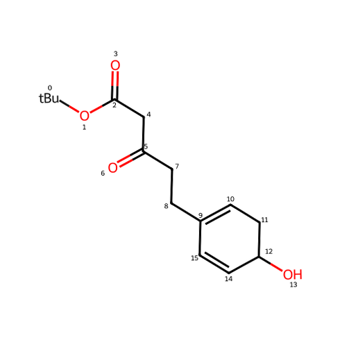 CC(C)(C)OC(=O)CC(=O)CCC1=CCC(O)C=C1